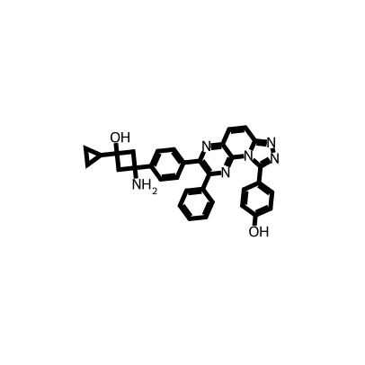 NC1(c2ccc(-c3nc4ccc5nnc(-c6ccc(O)cc6)n5c4nc3-c3ccccc3)cc2)CC(O)(C2CC2)C1